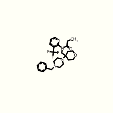 CCC(=O)N(CC1(N2CCN(Cc3ccccc3)CC2)CCOCC1)c1ncccc1C(F)(F)F